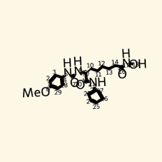 COc1ccc(NC(=O)N[C@@H](CCCCCC(=O)NO)C(=O)Nc2ccccc2)cc1